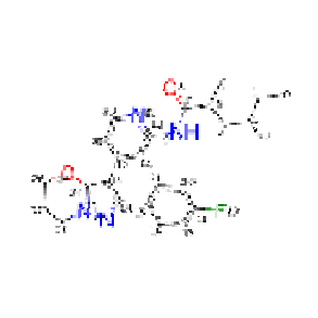 CCC(C)CC(C)C(=O)Nc1cc(-c2c(-c3ccc(F)cc3)nn3c2OCCC3)ccn1